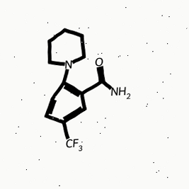 NC(=O)c1cc(C(F)(F)F)ccc1N1CCCCC1